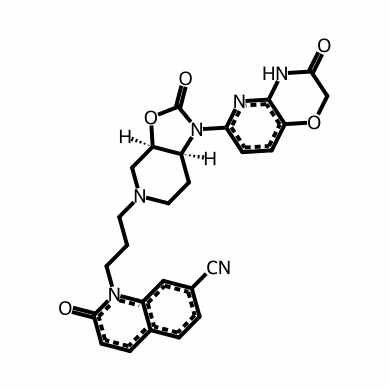 N#Cc1ccc2ccc(=O)n(CCCN3CC[C@H]4[C@@H](C3)OC(=O)N4c3ccc4c(n3)NC(=O)CO4)c2c1